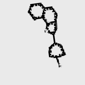 Brc1ccc(-c2cc3ccc4ccccc4c3o2)cc1